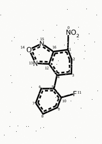 O=[N+]([O-])c1ccc(-c2ccccc2F)c2nonc12